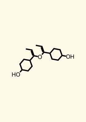 CC=C(OC(=CC)C1CCC(O)CC1)C1CCC(O)CC1